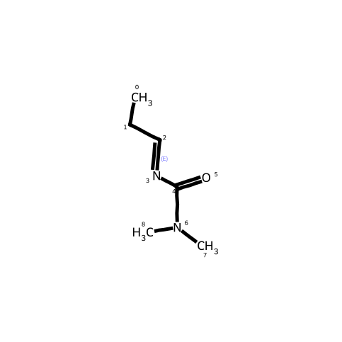 CC/C=N/C(=O)N(C)C